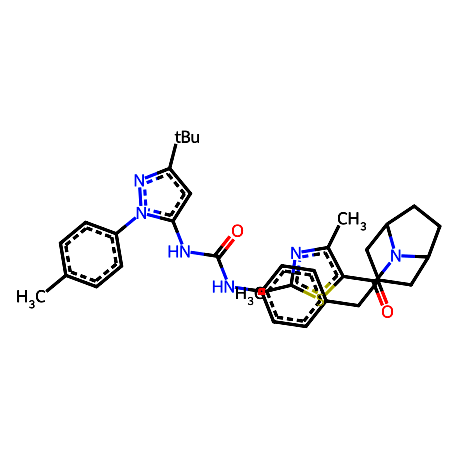 Cc1ccc(-n2nc(C(C)(C)C)cc2NC(=O)Nc2ccc(CC3CC4CCC(C3)N4C(=O)c3sc(C)nc3C)cc2)cc1